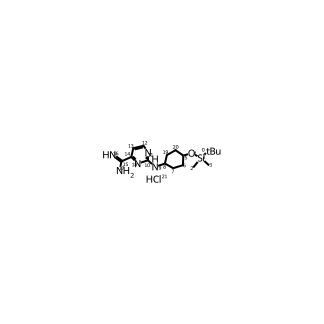 CC(C)(C)[Si](C)(C)OC1CCC(Nc2nccc(C(=N)N)n2)CC1.Cl